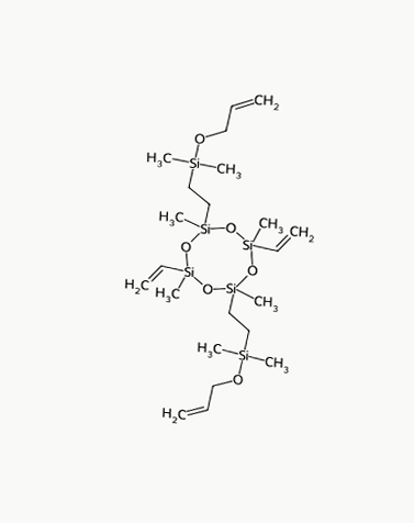 C=CCO[Si](C)(C)CC[Si]1(C)O[Si](C)(C=C)O[Si](C)(CC[Si](C)(C)OCC=C)O[Si](C)(C=C)O1